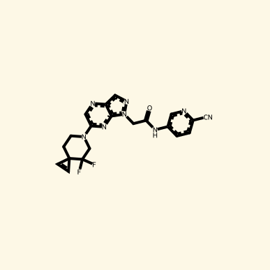 N#Cc1ccc(NC(=O)Cn2ncc3ncc(N4CCC5(C=C5)C(F)(F)C4)nc32)cn1